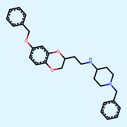 c1ccc(COc2ccc3c(c2)OC(CCNC2CCN(Cc4ccccc4)CC2)CO3)cc1